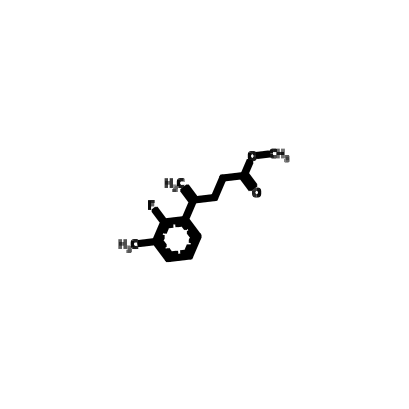 C=C(CCC(=O)OC)c1cccc(C)c1F